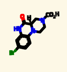 O=C1Nc2cc(Br)ccc2N2CCN(C(=O)O)C[C@H]12